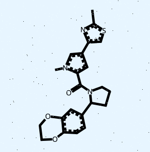 Cc1nc(-c2cc(C(=O)N3CCCC3c3ccc4c(c3)OCCO4)n(C)c2)cs1